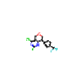 FC(F)(F)c1ccc(C2COCc3c(Cl)nc(Cl)nc32)cc1